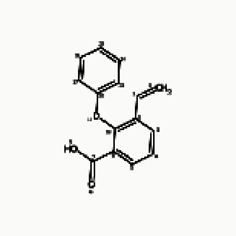 C=Cc1cccc(C(=O)O)c1Oc1ccccc1